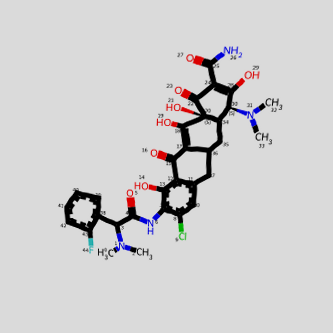 CN(C)C(C(=O)Nc1c(Cl)cc2c(c1O)C(=O)C1=C(O)[C@]3(O)C(=O)C(C(N)=O)=C(O)[C@@H](N(C)C)C3CC1C2)c1ccccc1F